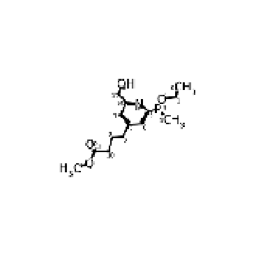 CCOP(C)c1cc(CCCC(=O)OC)cc(CO)n1